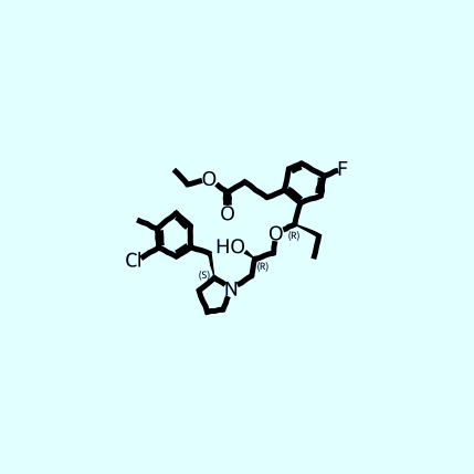 CCOC(=O)CCc1ccc(F)cc1[C@@H](CC)OC[C@H](O)CN1CCC[C@H]1Cc1ccc(C)c(Cl)c1